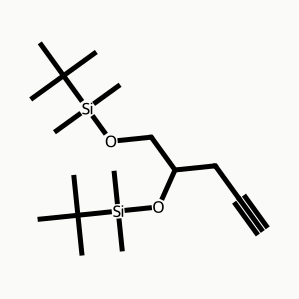 C#CCC(CO[Si](C)(C)C(C)(C)C)O[Si](C)(C)C(C)(C)C